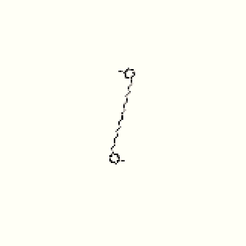 Cc1cccc(CCCCCCCCCCCCCCCCc2cccc(C)c2)c1